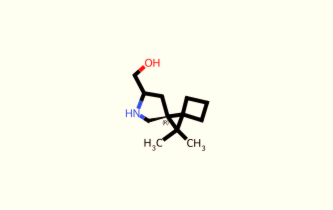 CC1(C)C2(CCC2)[C@]12CNC(CO)C2